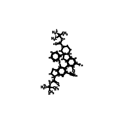 CC(C)(C)OC(=O)N1CCN2c3cc(F)c(Cl)c(-c4c(C#N)cc5c(c4F)CCN5C(=O)OC(C)(C)C)c3CC2(c2ccccc2)C1